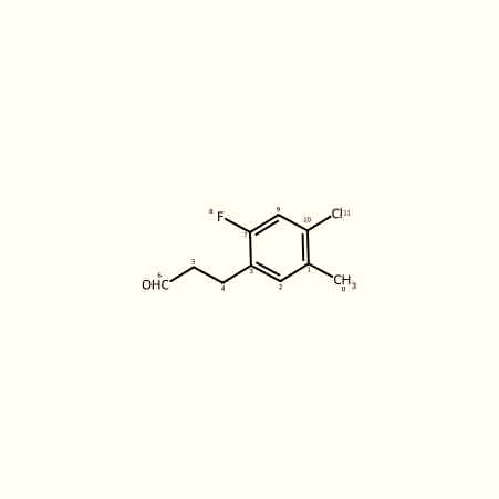 Cc1cc(CCC=O)c(F)cc1Cl